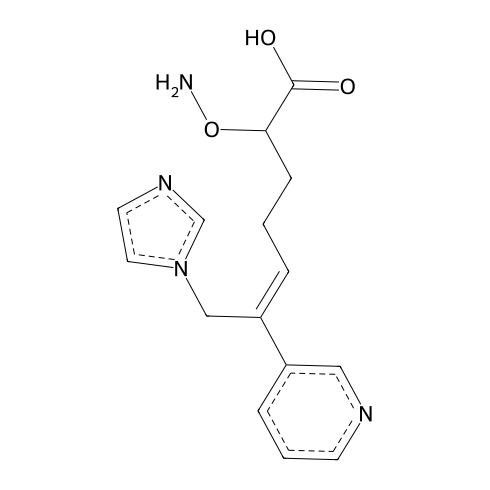 NOC(CC/C=C(\Cn1ccnc1)c1cccnc1)C(=O)O